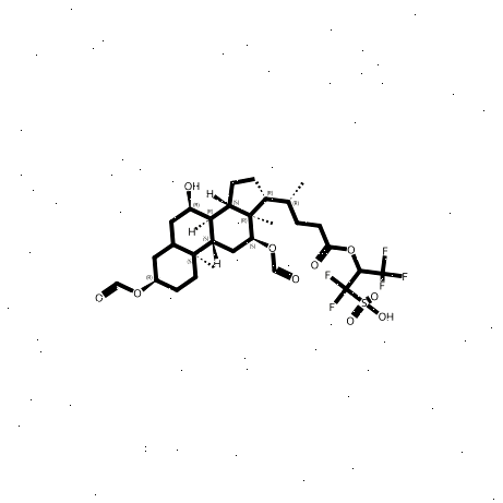 C[C@H](CCC(=O)OC(C(F)(F)F)C(F)(F)S(=O)(=O)O)[C@H]1CC[C@H]2[C@@H]3[C@H](O)CC4C[C@H](OC=O)CC[C@]4(C)[C@H]3C[C@H](OC=O)[C@]12C